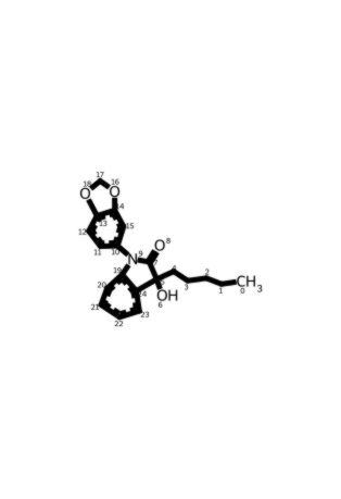 CCCCCC1(O)C(=O)N(c2ccc3c(c2)OCO3)c2ccccc21